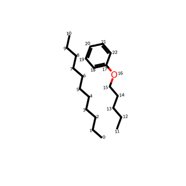 CCCCCCCCCCC.CCCCCOc1ccccc1